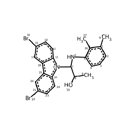 Cc1cccc(NC(C(C)O)n2c3ccc(Br)cc3c3cc(Br)ccc32)c1C